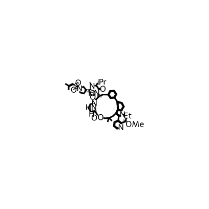 CCn1c(-c2cccnc2[C@H](C)OC)c2c3cc(ccc31)-c1cccc(c1)C[C@H](NC(=O)C(C(C)C)N(C)C(=O)[C@H]1CCN(S(=O)(=O)C=C(C)C)C1)C(=O)N1CCC[C@H](N1)C(=O)OCC(C)(C)C2